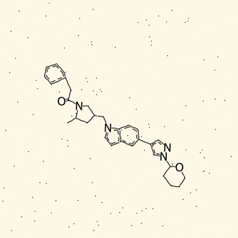 CC1CC(Cn2ccc3cc(-c4cnn(C5CCCCO5)c4)ccc32)CN1C(=O)Cc1ccccc1